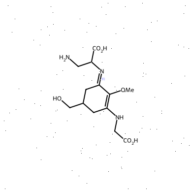 COC1=C(NCC(=O)O)CC(CO)C/C1=N\C(CN)C(=O)O